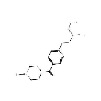 COCC(C)NCc1ccc(C(=O)N2CCN(C(C)C)CC2)cc1